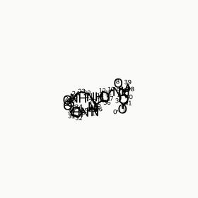 COc1ccc(C2(C(=O)NCc3ccc(-c4cnc5nc4NCCCNS(=O)(=O)c4cccc(c4)N5)cc3)CC2)cc1